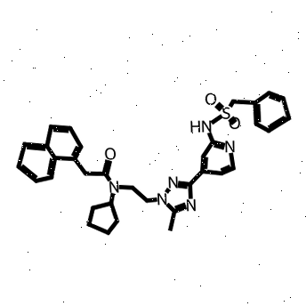 Cc1nc(-c2ccnc(NS(=O)(=O)Cc3ccccc3)c2)nn1CCN(C(=O)Cc1cccc2ccccc12)C1CCCC1